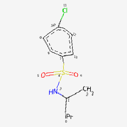 CC(C)C(C)NS(=O)(=O)c1ccc(Cl)cc1